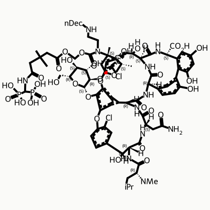 CCCCCCCCCCNCCN(C(=O)OCOC(=O)CC(C)(C)CC(=O)NC(P(=O)(O)O)P(=O)(O)O)[C@@]1(C)C[C@H](O[C@H]2[C@H](Oc3c4cc5cc3Oc3ccc(cc3Cl)[C@@H](O)[C@@H](NC(=O)[C@@H](CC(C)C)NC)C(=O)N[C@@H](CC(N)=O)C(=O)N[C@H]5C(=O)N[C@H]3C(=O)N[C@H](C(=O)N[C@H](C(=O)O)c5cc(O)cc(O)c5-c5cc3ccc5O)[C@H](O)c3ccc(c(Cl)c3)O4)O[C@H](CO)[C@@H](O)[C@@H]2O)O[C@@H](C)[C@H]1O